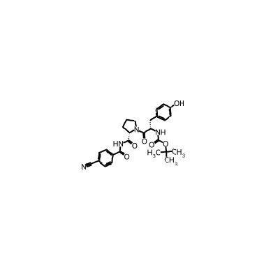 CC(C)(C)OC(=O)N[C@@H](Cc1ccc(O)cc1)C(=O)N1CCC[C@H]1C(=O)NC(=O)c1ccc(C#N)cc1